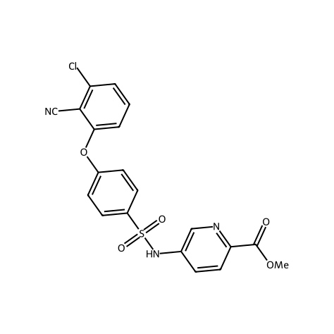 COC(=O)c1ccc(NS(=O)(=O)c2ccc(Oc3cccc(Cl)c3C#N)cc2)cn1